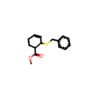 COC(=O)C1CCC=CC1SCc1ccccc1